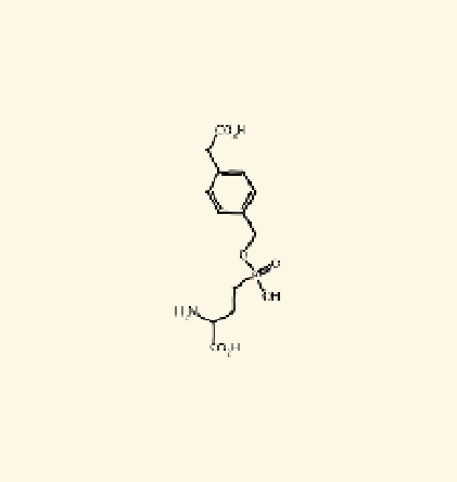 NC(CCP(=O)(O)OCc1ccc(CC(=O)O)cc1)C(=O)O